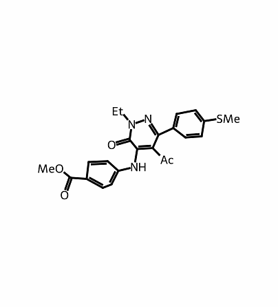 CCn1nc(-c2ccc(SC)cc2)c(C(C)=O)c(Nc2ccc(C(=O)OC)cc2)c1=O